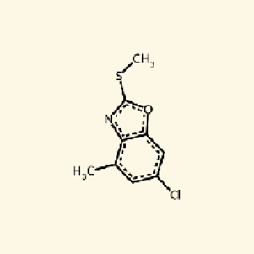 CSc1nc2c(C)cc(Cl)cc2o1